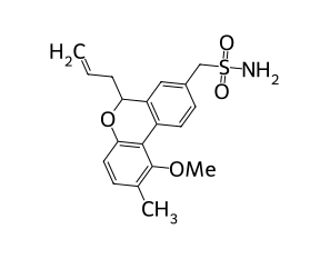 C=CCC1Oc2ccc(C)c(OC)c2-c2ccc(CS(N)(=O)=O)cc21